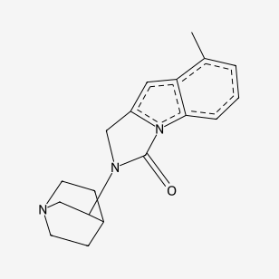 Cc1cccc2c1cc1n2C(=O)N(C2CN3CCC2CC3)C1